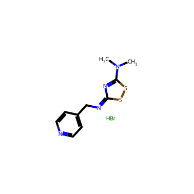 Br.CN(C)c1n/c(=N\Cc2ccncc2)ss1